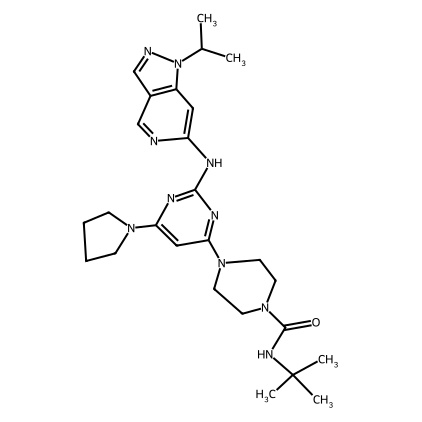 CC(C)n1ncc2cnc(Nc3nc(N4CCCC4)cc(N4CCN(C(=O)NC(C)(C)C)CC4)n3)cc21